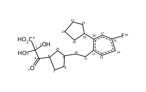 O=C(O)C(O)(O)C(=O)C1CCC(CCc2ccc(F)cc2C2CCCC2)C1